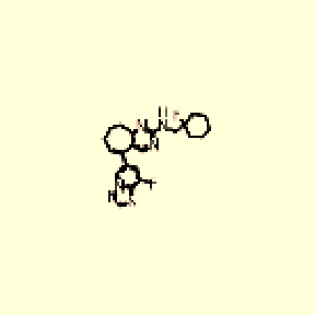 Fc1cc(C2=CCCCc3nc(NCC4(F)CCCCC4)ncc32)cn2ncnc12